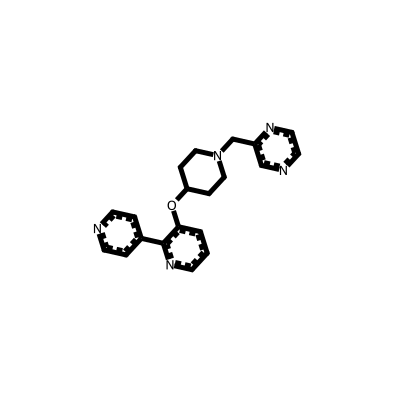 c1cnc(-c2ccncc2)c(OC2CCN(Cc3cnccn3)CC2)c1